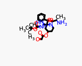 C[C@H](N)C(=O)N1CCC(OC(=O)C=O)CC1(C(=N)NC(=O)OC(C)(C)C)C(=O)c1ccccc1